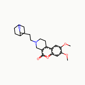 COc1cc2oc(=O)c3c(c2cc1OC)CCN(CCC1NC2CCC1CC2)C3